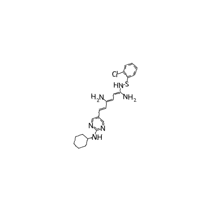 NC(=C\C=C(/N)NSc1ccccc1Cl)/C=C/c1cnc(NC2CCCCC2)nc1